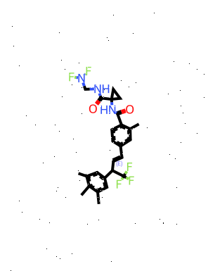 Cc1cc(/C=C/C(c2cc(C)c(C)c(C)c2)C(F)(F)F)ccc1C(=O)NC1(C(=O)NCN(F)F)CC1